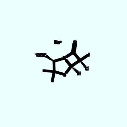 CC1(C)S[C@H]2N(C(=O)[C@@]2(Cl)I)[C@H]1C(=O)[O-].[Na+]